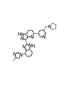 Cc1cn(-c2cccc3[nH]c(-c4n[nH]c5ccc(-c6cncc(CN7CCCC7)c6)nc45)nc23)cn1